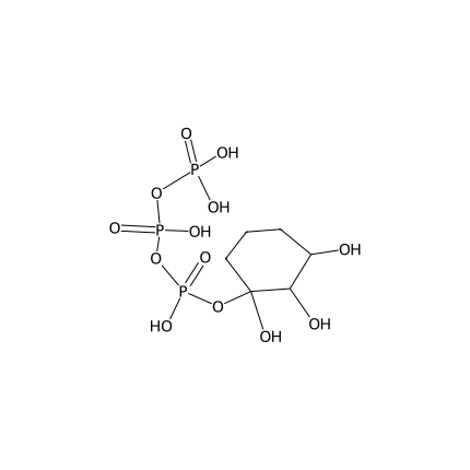 O=P(O)(O)OP(=O)(O)OP(=O)(O)OC1(O)CCCC(O)C1O